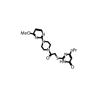 CCCc1cc(=O)[nH]c(SCC(=O)N2CCN(c3nccc(OC)n3)CC2)n1